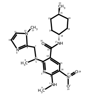 CNc1nc(N(C)Cc2nccn2C)c(C(=O)N[C@H]2CC[C@H](C)CC2)cc1[N+](=O)[O-]